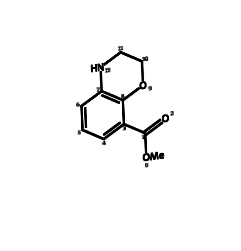 COC(=O)c1cccc2c1OCCN2